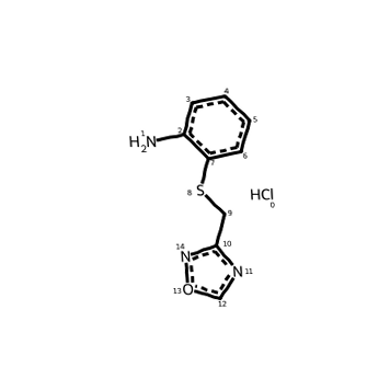 Cl.Nc1ccccc1SCc1ncon1